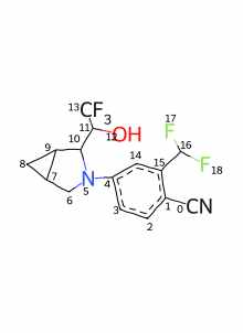 N#Cc1ccc(N2CC3CC3C2C(O)C(F)(F)F)cc1C(F)F